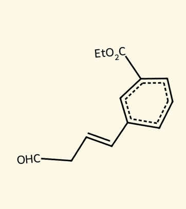 CCOC(=O)c1cccc(C=CCC=O)c1